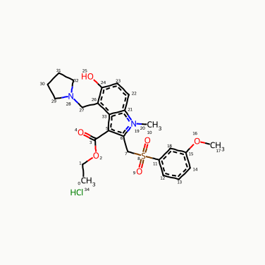 CCOC(=O)c1c(CS(=O)(=O)c2cccc(OC)c2)n(C)c2ccc(O)c(CN3CCCC3)c12.Cl